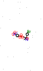 Cc1noc(-c2ccc(Br)cc2)c1COC(=O)Oc1ccc([N+](=O)[O-])cc1